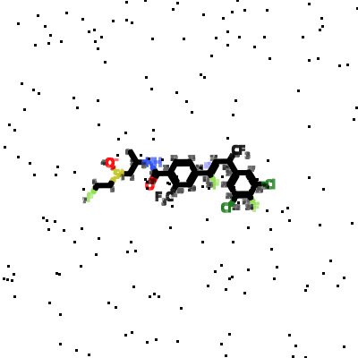 CC(C[S+]([O-])CCF)NC(=O)c1ccc(/C(F)=C/C(c2cc(Cl)c(F)c(Cl)c2)C(F)(F)F)cc1C(F)(F)F